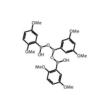 COc1cc(OC)cc(B(OB(O)c2cc(OC)ccc2OC)OB(O)c2cc(OC)ccc2OC)c1